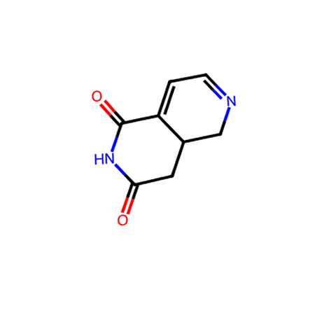 O=C1CC2CN=CC=C2C(=O)N1